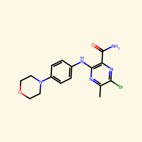 Cc1nc(Nc2ccc(N3CCOCC3)cc2)c(C(N)=O)nc1Br